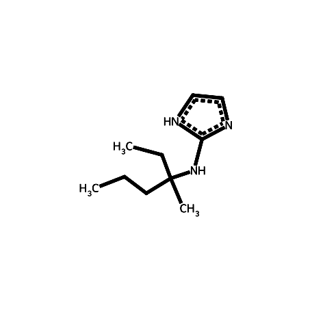 CCCC(C)(CC)Nc1ncc[nH]1